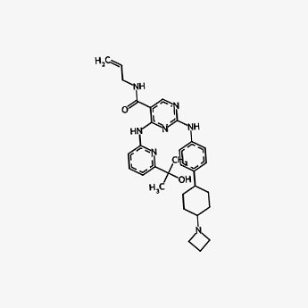 C=CCNC(=O)c1cnc(Nc2ccc(C3CCC(N4CCC4)CC3)cc2)nc1Nc1cccc(C(C)(C)O)n1